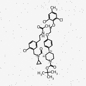 CC(=O)NCCc1ccc(Cl)c(CN(C(=O)[C@H]2CN(C(=O)OC(C)(C)C)CC[C@@H]2c2ccc(OCCOc3c(Cl)cc(C)cc3Cl)cc2)C2CC2)c1